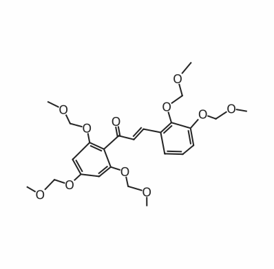 COCOc1cc(OCOC)c(C(=O)C=Cc2cccc(OCOC)c2OCOC)c(OCOC)c1